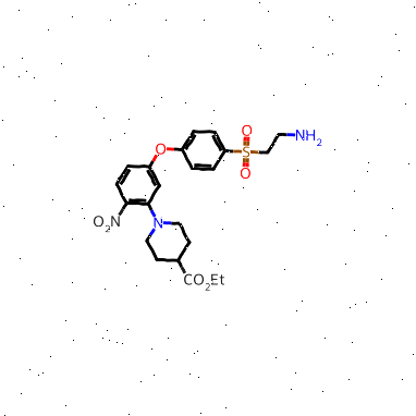 CCOC(=O)C1CCN(c2cc(Oc3ccc(S(=O)(=O)CCN)cc3)ccc2[N+](=O)[O-])CC1